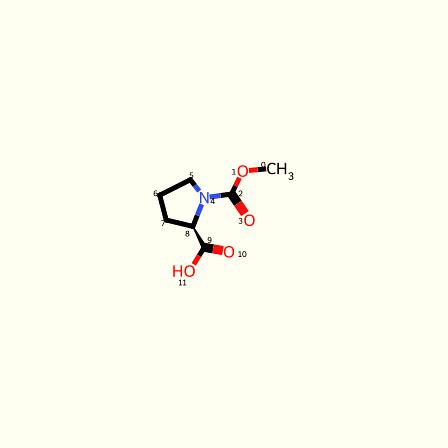 COC(=O)N1CCC[C@@H]1C(=O)O